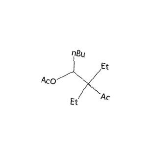 CCCCC(OC(C)=O)C(CC)(CC)C(C)=O